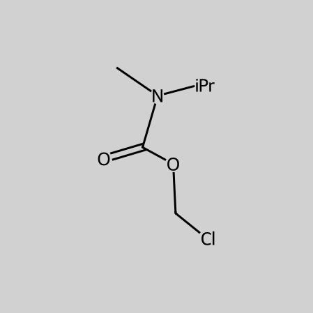 CC(C)N(C)C(=O)OCCl